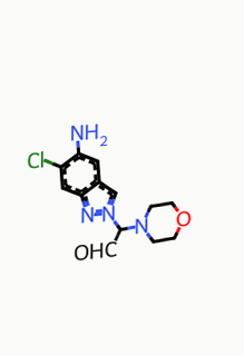 Nc1cc2cn(C(C=O)N3CCOCC3)nc2cc1Cl